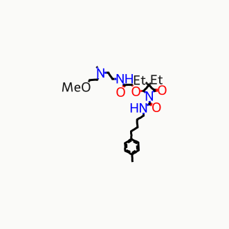 CCC1(CC)C(=O)N(C(=O)NCCCCc2ccc(C)cc2)C1OCC(=O)NCCN(C)CCOC